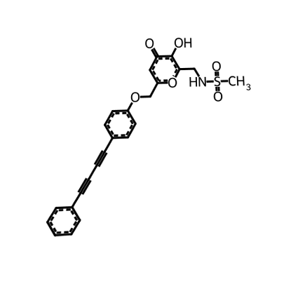 CS(=O)(=O)NCc1oc(COc2ccc(C#CC#Cc3ccccc3)cc2)cc(=O)c1O